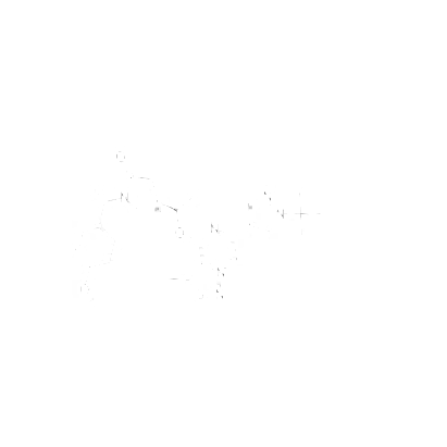 COc1ccc(C(C)N2C[C@H](C(C)Oc3nc(-c4cnn(C(C)(C)C)c4)cn4ncc(C)c34)CC2=O)cc1